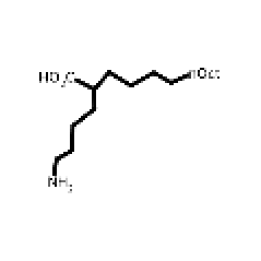 CCCCCCCCCCCCC(CCCCN)C(=O)O